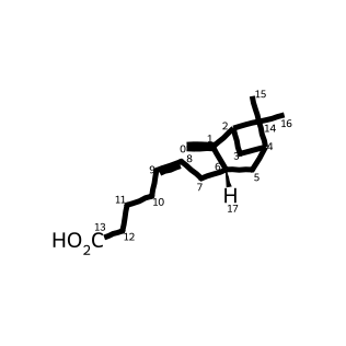 C=C1C2CC(C[C@@H]1C/C=C\CCCC(=O)O)C2(C)C